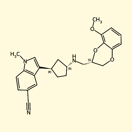 COc1cccc2c1O[C@@H](CN[C@@H]1CC[C@@H](c3cn(C)c4ccc(C#N)cc34)C1)CO2